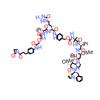 CC[C@H](C)[C@@H]([C@@H](CC(=O)N1CCC[C@H]1[C@H](OC)[C@@H](C)C(=O)N[C@@H](Cc1ccccc1)c1nccs1)OC)N(C)C(=O)[C@@H](NC(=O)C(C)(C)NC(=O)OCc1ccc(NC(=O)[C@H](CCCNC(N)=O)NC(=O)[C@@H](NC(=O)COCC(=O)Nc2ccc(CCC(=O)N3CCC3=O)cc2)C(C)C)cc1)C(C)C